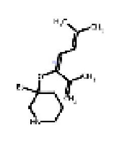 C=C(C)/C(=C\C=C(C)C)OC1(CC)CCCNC1